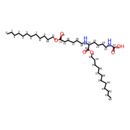 CCCCCCCCCCCCOC(=O)CCCCCNC(CCCCNC(=O)O)C(=O)OCCCCCCCCCCCC